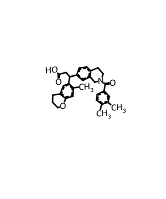 Cc1ccc(C(=O)N2CCc3ccc(C(CC(=O)O)c4cc5c(cc4C)OCCC5)cc3C2)cc1C